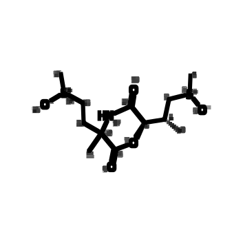 C[C@@H](C[S+](C)[O-])[C@H]1OC(=O)C(C)(CC[S+](C)[O-])NC1=O